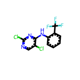 FC(F)(F)c1ccccc1Nc1nc(Cl)ncc1Cl